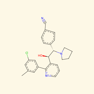 Cc1cc(Cl)cc(-c2ncccc2[C@@H](O)[C@H](c2ccc(C#N)cc2)N2CCCC2)c1